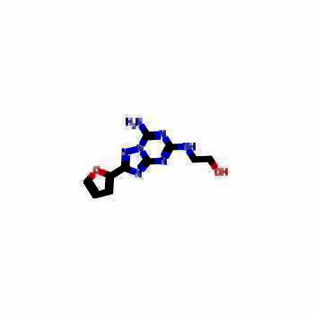 Nc1nc(NCCO)nc2nc(-c3ccco3)nn12